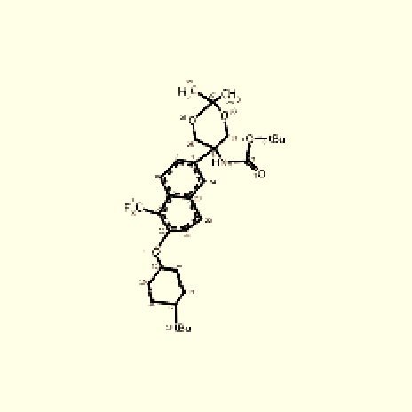 CC(C)(C)OC(=O)NC1(c2ccc3c(C(F)(F)F)c(OC4CCC(C(C)(C)C)CC4)ccc3c2)COC(C)(C)OC1